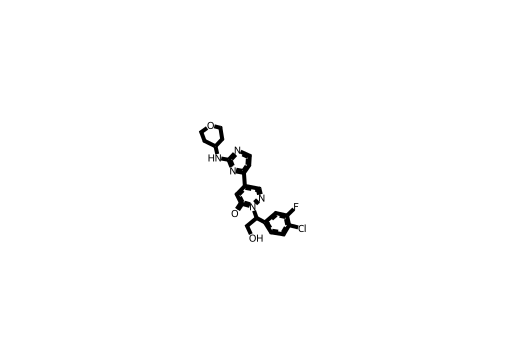 O=c1cc(-c2ccnc(NC3CCOCC3)n2)cnn1C(CO)c1ccc(Cl)c(F)c1